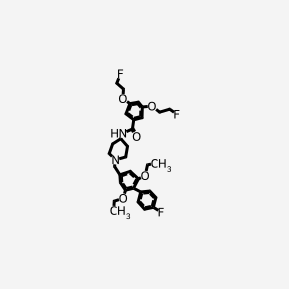 CCOc1cc(CN2CCC(NC(=O)c3cc(OCCF)cc(OCCF)c3)CC2)cc(OCC)c1-c1ccc(F)cc1